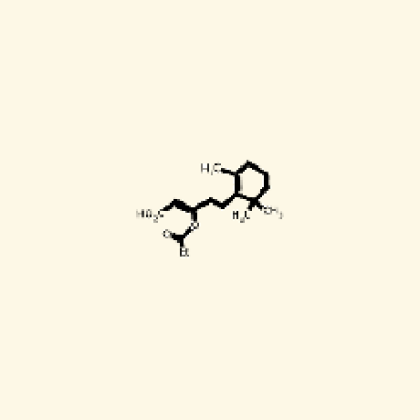 CCC(=O)OC(=CC(=O)O)CCC1=C(C)CCCC1(C)C